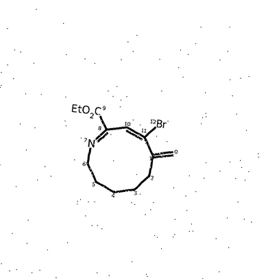 C=C1CCCCC/N=C(C(=O)OCC)\C=C/1Br